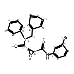 O=C(Nc1cccc(Br)c1)[C@H]1O[C@@H]1C(=O)N(Cc1ccccc1)c1ccccc1